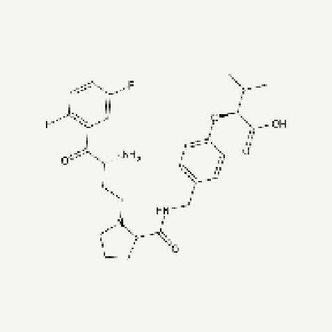 CC(C)[C@H](Oc1ccc(CNC(=O)C2CCCN2CC[C@@H](N)C(=O)c2cc(F)ccc2F)cc1)C(=O)O